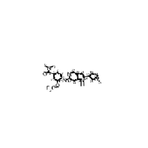 CN(C)C(=O)c1ccc(Nc2cc3[nH]c(-c4cnn(C)c4)cc3cn2)c(OC(F)(F)F)c1